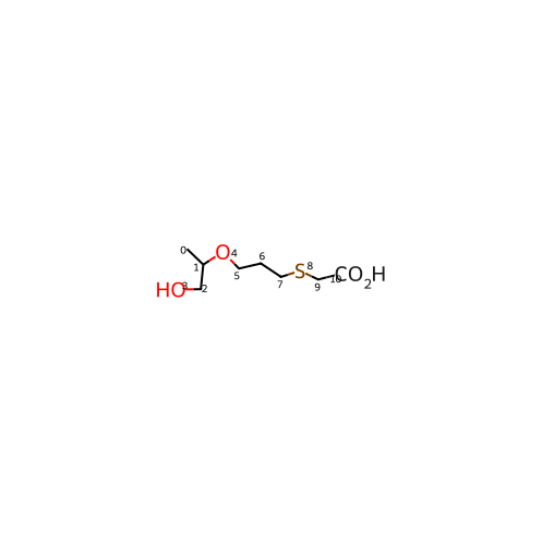 CC(CO)OCCCSCC(=O)O